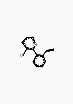 C=Cc1ccccc1-c1ncccc1N